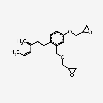 C=C(/C=C\C)CCc1ccc(OCC2CO2)cc1COCC1CO1